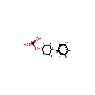 O=C(O)O[C@H]1CC[C@@H](c2ccccc2)CC1